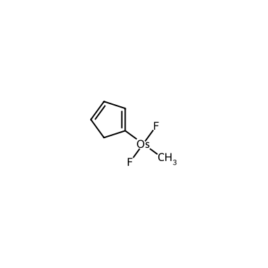 [CH3][Os]([F])([F])[C]1=CC=CC1